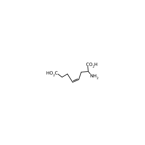 NC(C/C=C\CCC(=O)O)C(=O)O